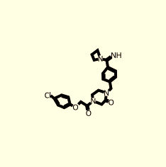 N=C(c1ccc(CN2CCN(C(=O)COc3ccc(Cl)cc3)CC2=O)cc1)N1CCC1